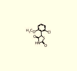 COc1cccc(Cl)c1C1SC(=O)NC1=O